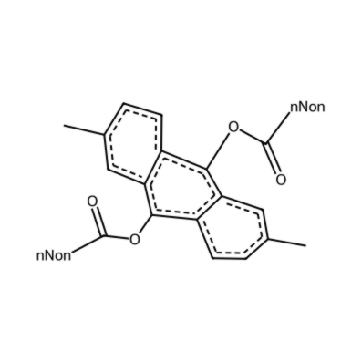 CCCCCCCCCC(=O)Oc1c2ccc(C)cc2c(OC(=O)CCCCCCCCC)c2ccc(C)cc12